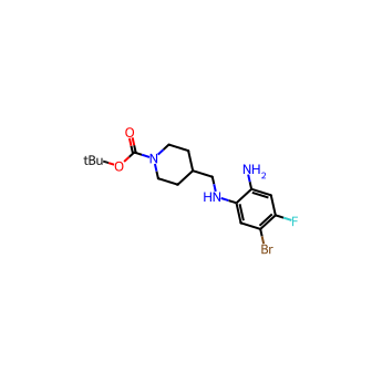 CC(C)(C)OC(=O)N1CCC(CNc2cc(Br)c(F)cc2N)CC1